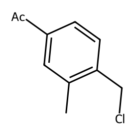 CC(=O)c1ccc(CCl)c(C)c1